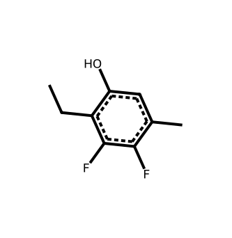 CCc1c(O)cc(C)c(F)c1F